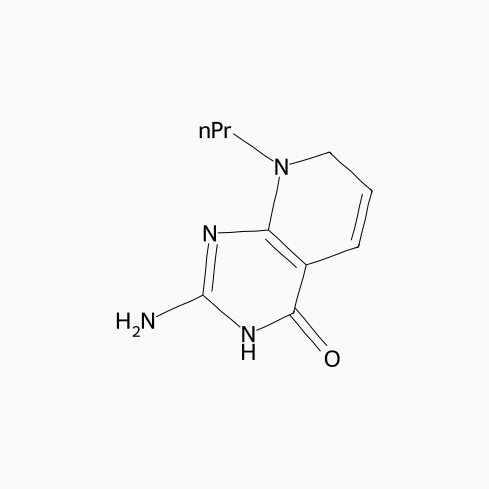 CCCN1CC=Cc2c1nc(N)[nH]c2=O